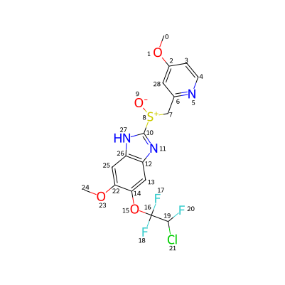 COc1ccnc(C[S+]([O-])c2nc3cc(OC(F)(F)C(F)Cl)c(OC)cc3[nH]2)c1